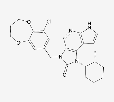 C[C@@H]1CCCC[C@@H]1n1c(=O)n(Cc2cc(Cl)c3c(c2)OCCCO3)c2cnc3[nH]ccc3c21